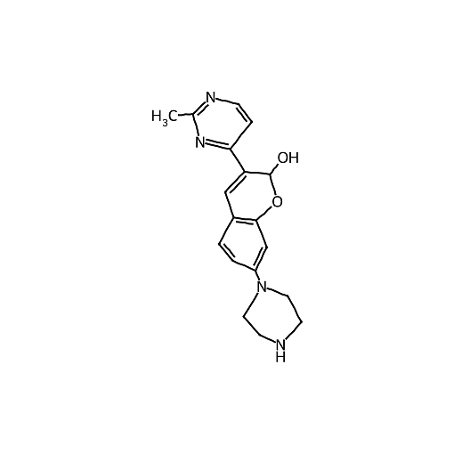 Cc1nccc(C2=Cc3ccc(N4CCNCC4)cc3OC2O)n1